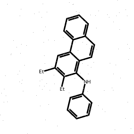 CCc1cc2c(ccc3ccccc32)c(Nc2ccccc2)c1CC